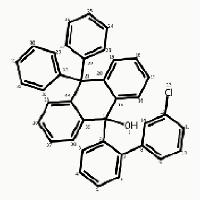 OC1(c2ccccc2-c2cccc(Cl)c2)c2ccccc2C(c2ccccc2)(c2ccccc2)c2ccccc21